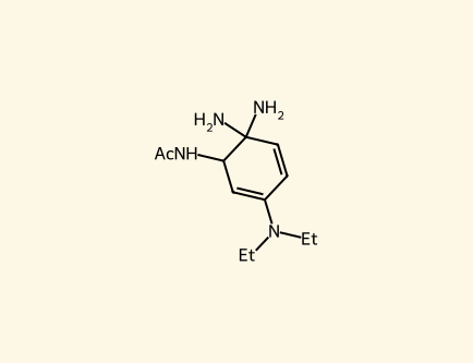 CCN(CC)C1=CC(NC(C)=O)C(N)(N)C=C1